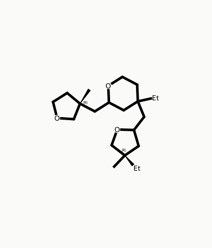 CCC1(CC2C[C@@](C)(CC)CO2)CCOC(C[C@@]2(C)CCOC2)C1